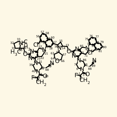 C=C(F)C(=O)N1CCN(c2nc(OCC3CC(c4cc(N5CCc6c(nc(OCC7(C)CCCN7C)nc6N6CCN(C(=O)C(=C)F)[C@@H](CC#N)C6)C5)c5c(Cl)cccc5c4)N3C3CCOCC3)nc3c2CCN(c2cccc4cccc(Cl)c24)C3)C[C@@H]1CC#N